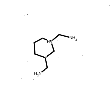 NCC1CCC[SH](CN)C1